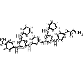 C=CC(=O)Oc1ccc(Nc2nc(Nc3ccccc3)nc(Nc3cccc(Nc4nc(Nc5ccccc5)nc(Nc5ccc(C=C)cc5)n4)c3)n2)cc1